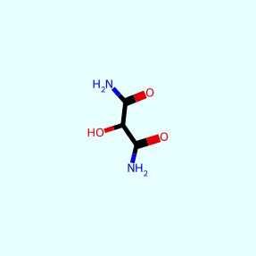 NC(=O)C(O)C(N)=O